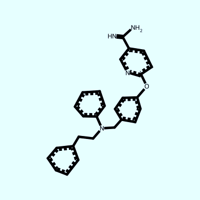 N=C(N)c1ccc(Oc2ccc(CN(CCc3ccccc3)c3ccccc3)cc2)nc1